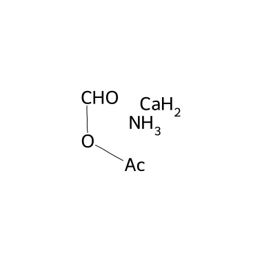 CC(=O)OC=O.N.[CaH2]